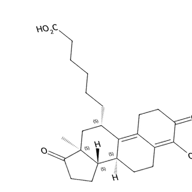 C[C@]12C[C@H](CCCCCC(=O)O)C3=C4CCC(=O)C(Cl)=C4CC[C@H]3[C@@H]1CCC2=O